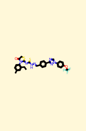 CCc1cc(C)ccc1N1C(=O)CS/C1=N\C(=S)N/N=C/c1ccc(-c2ncn(-c3ccc(OC(F)(F)F)cc3)n2)cc1